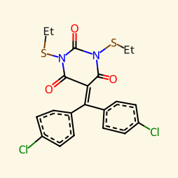 CCSN1C(=O)C(=C(c2ccc(Cl)cc2)c2ccc(Cl)cc2)C(=O)N(SCC)C1=O